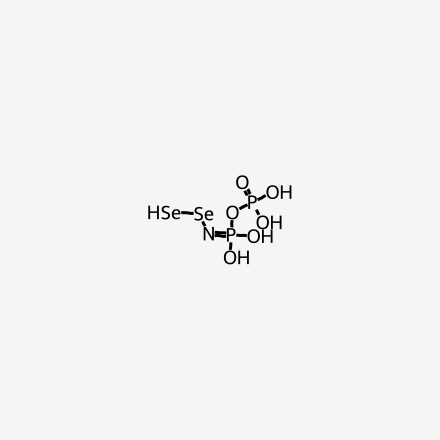 O=P(O)(O)OP(O)(O)=N[Se][SeH]